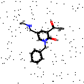 CCCNCc1cc(C(=O)NC)c(=O)n(Cc2ccccc2)c1